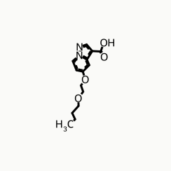 CCCCOCCOc1ccn2ncc(C(=O)O)c2c1